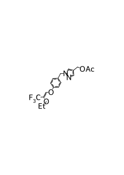 CCO/C(=C\Oc1ccc(Cn2cc(COC(C)=O)cn2)cc1)C(F)(F)F